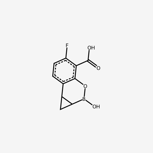 O=C(O)c1c(F)ccc2c1OB(O)C1CC21